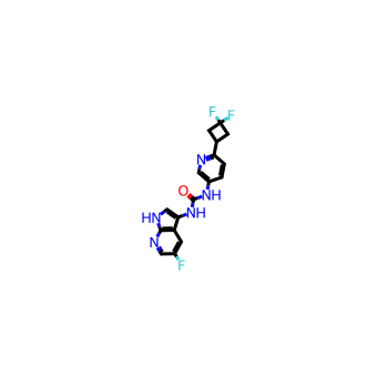 O=C(Nc1ccc(C2CC(F)(F)C2)nc1)Nc1c[nH]c2ncc(F)cc12